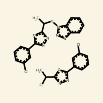 CC(Cl)c1nnc(-c2cccc(Cl)c2)o1.CC(On1nnc2ccccc21)c1nnc(-c2cccc(Cl)c2)o1